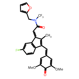 COC1=CC(=CC2=C(C)/C(=C\C(=O)N(Cc3ccco3)C(F)(F)F)c3cc(F)ccc32)C=C(OC)C1=O